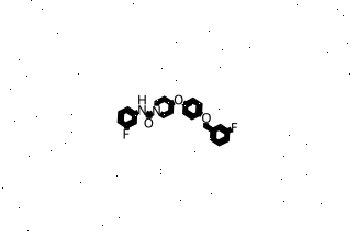 O=C(Nc1cccc(F)c1)N1CCC(Oc2ccc(OCc3cccc(F)c3)cc2)CC1